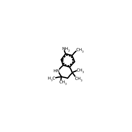 Cc1cc2c(cc1N)NC(C)(C)CC2(C)C